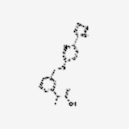 CC(C(=O)O)c1cccc(COc2ccc(-c3ccn[nH]3)nc2)c1